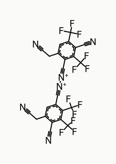 N#CCc1cc(C(F)(F)F)c(C#N)c(C(F)(F)F)c1C#[N+][N+]#Cc1cc(CC#N)c(C#N)c(C(F)(F)F)c1C(F)(F)F